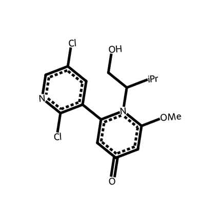 COc1cc(=O)cc(-c2cc(Cl)cnc2Cl)n1C(CO)C(C)C